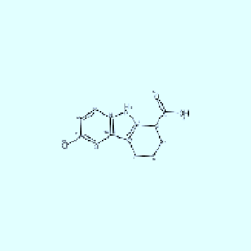 O=C(O)C1CCCc2c1[nH]c1ccc(Cl)cc21